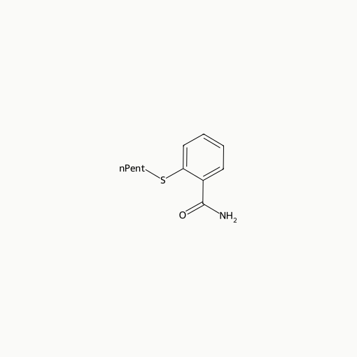 CCCCCSc1ccccc1C(N)=O